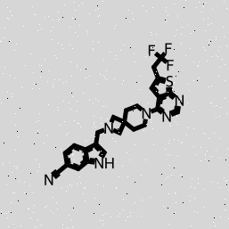 N#Cc1ccc2c(CN3CC4(CCN(c5ncnc6sc(CC(F)(F)F)cc56)CC4)C3)c[nH]c2c1